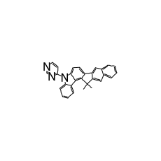 CC1(C)c2cc3ccccc3cc2-c2ccc3c(c21)c1ccccc1n3-c1ccncn1